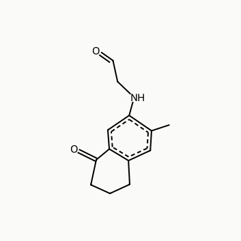 Cc1cc2c(cc1NCC=O)C(=O)CCC2